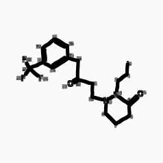 [CH2]CCN1C(=O)CCCN1CCC(=O)Cc1cccc(C(F)(F)F)c1